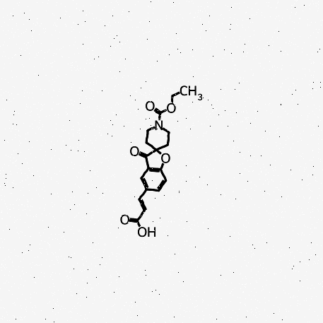 CCOC(=O)N1CCC2(CC1)Oc1ccc(/C=C/C(=O)O)cc1C2=O